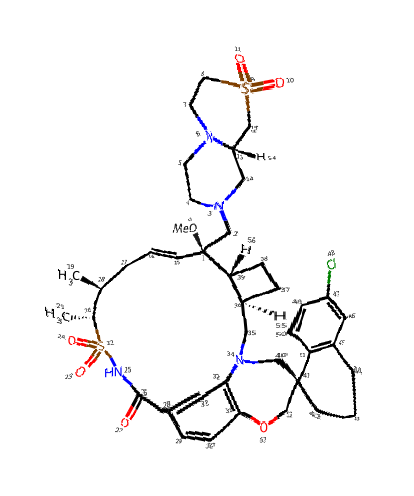 CO[C@]1(CN2CCN3CCS(=O)(=O)C[C@@H]3C2)/C=C/C[C@H](C)[C@@H](C)S(=O)(=O)NC(=O)c2ccc3c(c2)N(C[C@@H]2CC[C@H]21)C[C@@]1(CCCc2cc(Cl)ccc21)CO3